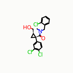 CN(Cc1ccccc1Cl)C(=O)[C@@]1(c2ccc(Cl)c(Cl)c2)C[C@H]1CO